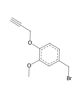 C#CCOc1ccc(CBr)cc1OC